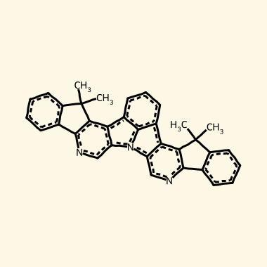 CC1(C)c2ccccc2-c2ncc3c(c21)c1cccc2c4c5c(ncc4n3c12)-c1ccccc1C5(C)C